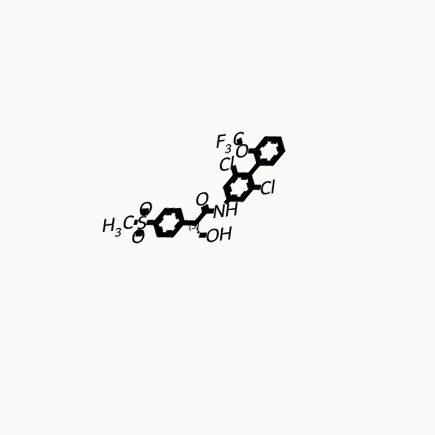 CS(=O)(=O)c1ccc([C@@H](CO)C(=O)Nc2cc(Cl)c(-c3ccccc3OC(F)(F)F)c(Cl)c2)cc1